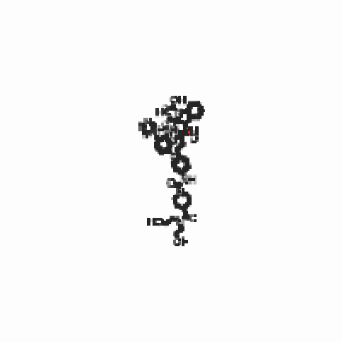 O=CC(=O)N(Nc1cc(Cl)ccc1-n1cnnn1)C1(C(=O)O)C(NC(=O)CCc2ccc(NC(=O)N3CCC(C(=O)N(CCO)CCO)CC3)cc2)c2ccccc2N1C(=O)O